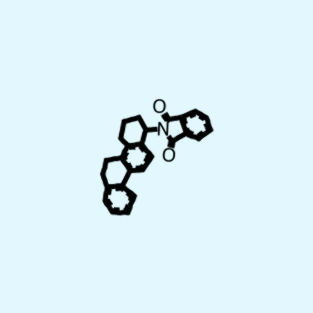 O=C1c2ccccc2C(=O)N1C1CCCc2c1ccc1c2CCc2ccccc2-1